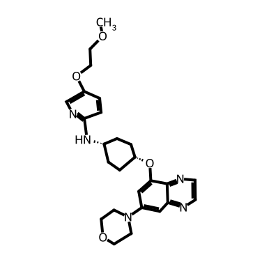 COCCOc1ccc(N[C@H]2CC[C@@H](Oc3cc(N4CCOCC4)cc4nccnc34)CC2)nc1